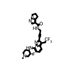 CN1CC[C@@H](Nc2cccc3c(CC(F)(F)F)c(C#CCNC(=O)c4cnn5c4CCC5)nn23)[C@@H](F)C1